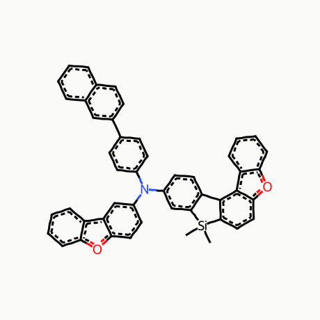 C[Si]1(C)c2cc(N(c3ccc(-c4ccc5ccccc5c4)cc3)c3ccc4oc5ccccc5c4c3)ccc2-c2c1ccc1oc3ccccc3c21